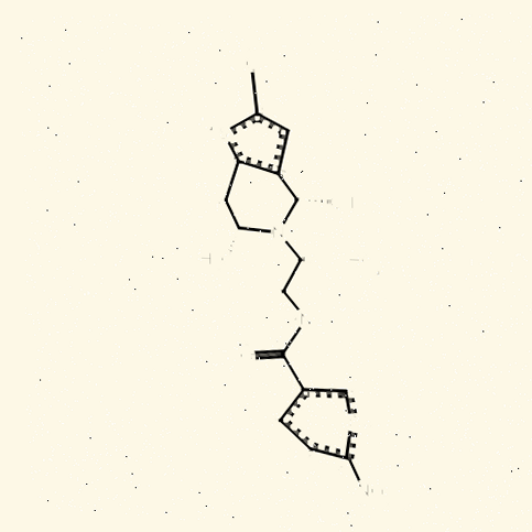 C[C@@H]1Cc2sc(Cl)cc2[C@H](C)N1CCNC(=O)c1ccc([N+](=O)[O-])cc1.Cl